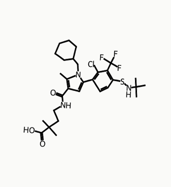 Cc1c(C(=O)NCCC(C)(C)C(=O)O)cc(-c2ccc(SNC(C)(C)C)c(C(F)(F)F)c2Cl)n1CC1CCCCC1